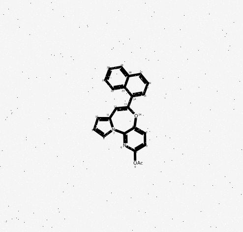 CC(=O)Oc1ccc2c(n1)-n1cccc1C=C(c1cccc3ccccc13)O2